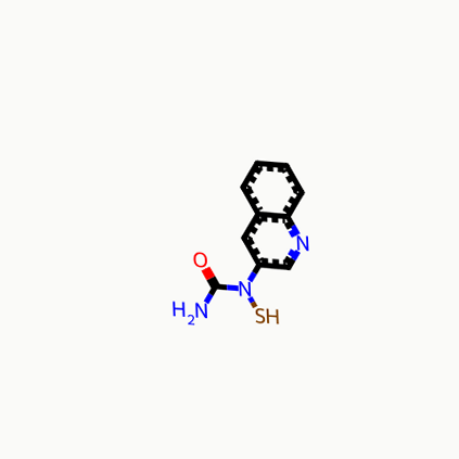 NC(=O)N(S)c1cnc2ccccc2c1